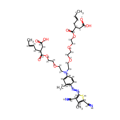 C/C=C/CC(CC(=O)O)C(=O)OCCOCCOCCN(CCOCCOC(=O)C(C/C=C/C)CC(=O)O)c1ccc(/N=N/c2sc(C#N)c(C)c2C#N)c(C)c1